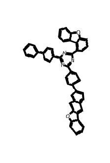 c1ccc(-c2ccc(-c3nc(-c4ccc(-c5ccc6cc7c(cc6c5)oc5ccccc57)cc4)nc(-c4cccc5oc6ccccc6c45)n3)cc2)cc1